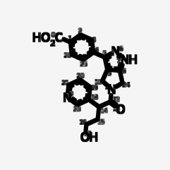 O=C(O)c1ccc(-c2n[nH]c3c2CN(C(=O)C(CCO)c2cccnc2)C3)cc1